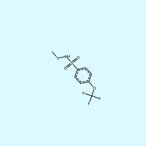 CSNS(=O)(=O)c1ccc(OC(F)(F)F)cc1